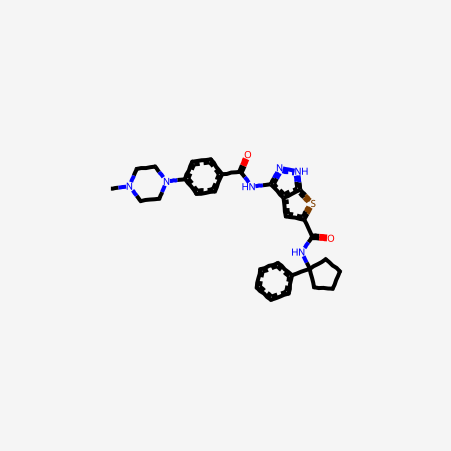 CN1CCN(c2ccc(C(=O)Nc3n[nH]c4sc(C(=O)NC5(c6ccccc6)CCCC5)cc34)cc2)CC1